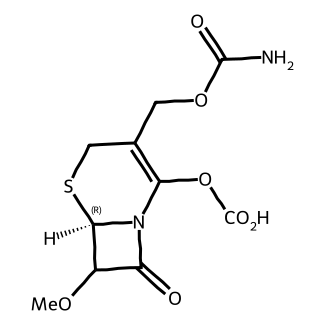 COC1C(=O)N2C(OC(=O)O)=C(COC(N)=O)CS[C@H]12